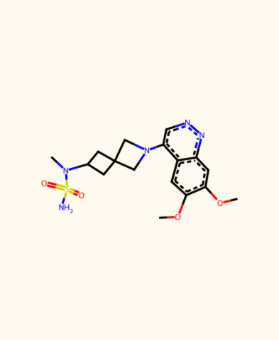 COc1cc2nncc(N3CC4(CC(N(C)S(N)(=O)=O)C4)C3)c2cc1OC